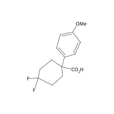 COc1ccc(C2(C(=O)O)CCC(F)(F)CC2)cc1